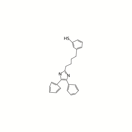 Sc1cccc(CCCCC2=NC(c3ccccc3)=C(c3ccccc3)[N]2)c1